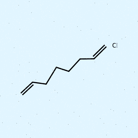 C=CCCCCC=C.[C]